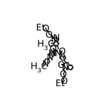 CCOCCOCCn1ncc2cc(C[C@@H](NC(=O)N3CCC(c4cc5ccccc5n(CCOCCOCC)c4=O)CC3)C(=O)N3CCN(C4CCN(C)CC4)CC3)cc(C)c21